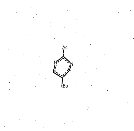 CC(=O)c1ncc(C(C)(C)C)cn1